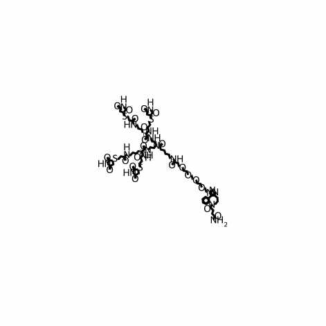 NC(=O)CCC(=O)N1CCCc2nnn(CCOCCOCCOCCOCCC(=O)NCCCCCC(=O)N(CCNC(=O)[C@H](CCCCNC(=O)CCSC3CC(=O)NC3=O)NC(=O)CCSC3CC(=O)NC3=O)CCNC(=O)[C@H](CCCCNC(=O)CCSC3CC(=O)NC3=O)NC(=O)CCSC3CC(=O)NC3=O)c2-c2ccccc21